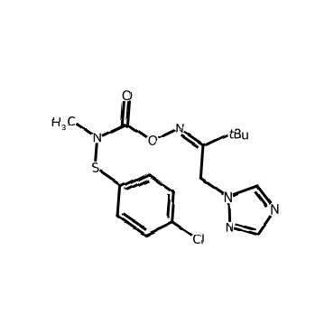 CN(Sc1ccc(Cl)cc1)C(=O)ON=C(Cn1cncn1)C(C)(C)C